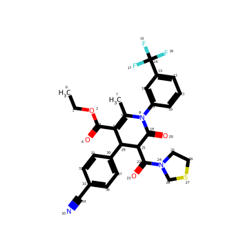 CCOC(=O)C1=C(C)N(c2cccc(C(F)(F)F)c2)C(=O)C(C(=O)N2CCSC2)C1c1ccc(C#N)cc1